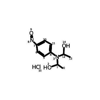 CC(O)N(c1ccc(N=O)cc1)C(C)O.Cl